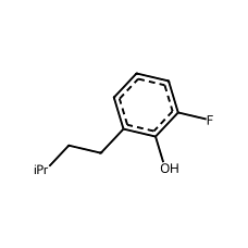 CC(C)CCc1cccc(F)c1O